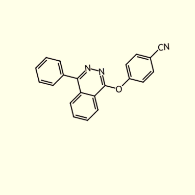 N#Cc1ccc(Oc2nnc(-c3ccccc3)c3ccccc23)cc1